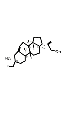 C=C(CO)[C@H]1CC[C@H]2[C@@H]3CC=C4C[C@](O)(CF)CC[C@@H]4[C@H]3CC[C@]12C